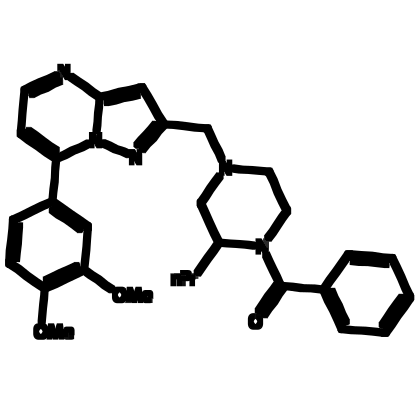 CCCC1CN(Cc2cc3nccc(-c4ccc(OC)c(OC)c4)n3n2)CCN1C(=O)c1ccccc1